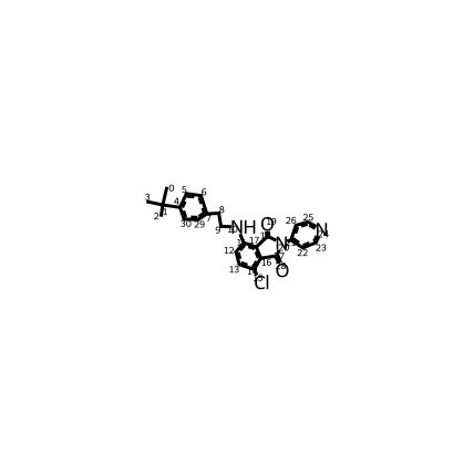 CC(C)(C)c1ccc(CCNc2ccc(Cl)c3c2C(=O)N(c2ccncc2)C3=O)cc1